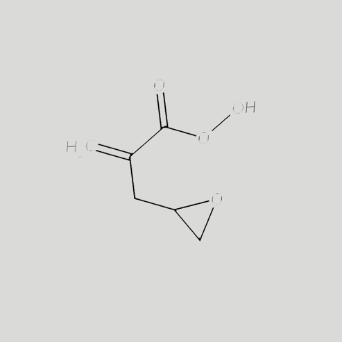 C=C(CC1CO1)C(=O)OO